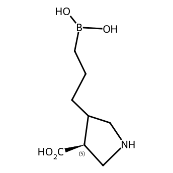 O=C(O)[C@@H]1CNCC1CCCB(O)O